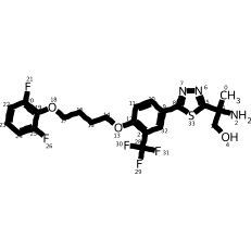 CC(N)(CO)c1nnc(-c2ccc(OCCCCOc3c(F)cccc3F)c(C(F)(F)F)c2)s1